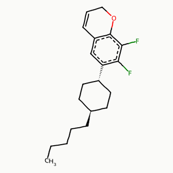 CCCCC[C@H]1CC[C@H](c2cc3c(c(F)c2F)OCC=C3)CC1